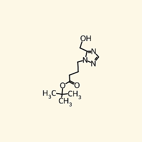 CC(C)(C)OC(=O)CCCn1ncnc1CO